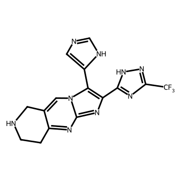 FC(F)(F)c1n[nH]c(-c2nc3nc4c(cn3c2-c2cnc[nH]2)CNCC4)n1